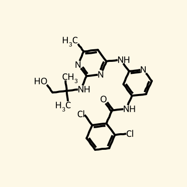 Cc1cc(Nc2cc(NC(=O)c3c(Cl)cccc3Cl)ccn2)nc(NC(C)(C)CO)n1